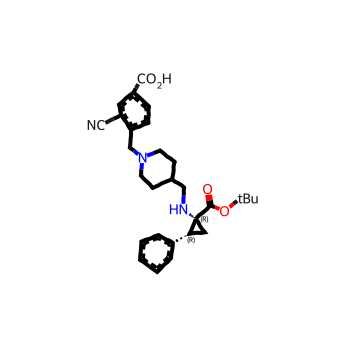 CC(C)(C)OC(=O)[C@@]1(NCC2CCN(Cc3ccc(C(=O)O)cc3C#N)CC2)C[C@@H]1c1ccccc1